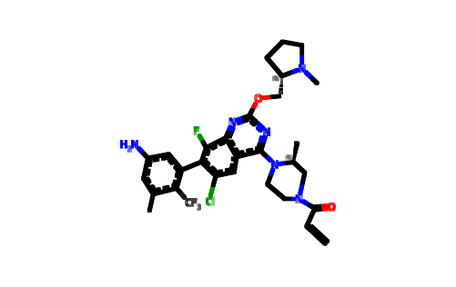 C=CC(=O)N1CCN(c2nc(OC[C@@H]3CCCN3C)nc3c(F)c(-c4cc(N)cc(C)c4C(F)(F)F)c(Cl)cc23)[C@@H](C)C1